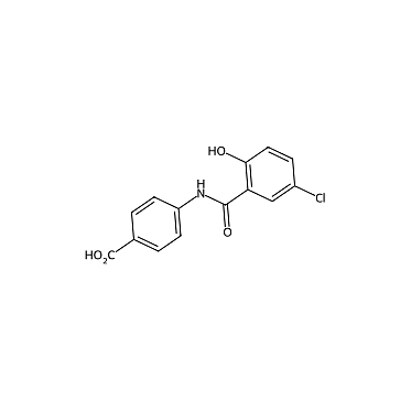 O=C(O)c1ccc(NC(=O)c2cc(Cl)ccc2O)cc1